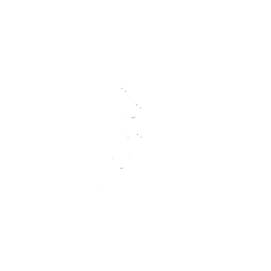 COc1ccc(C(=O)NC(CC(C)C)C(=O)N(C)C#N)cc1